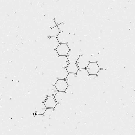 CC(C)(C)OC(=O)N1CCN(c2nc(N3CCN(c4ccc(CN)cc4)CC3)nc(N3CCOCC3)c2F)CC1